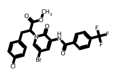 COC(=O)C(Cc1ccc(Cl)cc1)n1cc(Br)cc(NC(=O)c2ccc(C(F)(F)F)cc2)c1=O